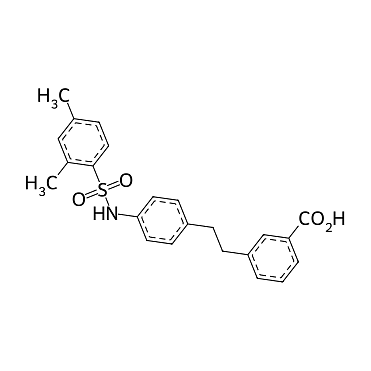 Cc1ccc(S(=O)(=O)Nc2ccc(CCc3cccc(C(=O)O)c3)cc2)c(C)c1